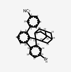 N#Cc1cccc(-c2cccc3c2C2(c4cc(Br)ccc4-3)C3CC4CC(C3)CC2C4)c1